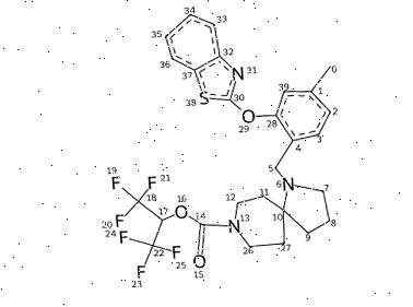 Cc1ccc(CN2CCCC23CCN(C(=O)OC(C(F)(F)F)C(F)(F)F)CC3)c(Oc2nc3ccccc3s2)c1